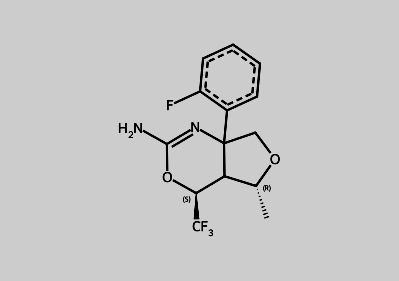 C[C@H]1OCC2(c3ccccc3F)N=C(N)O[C@H](C(F)(F)F)C12